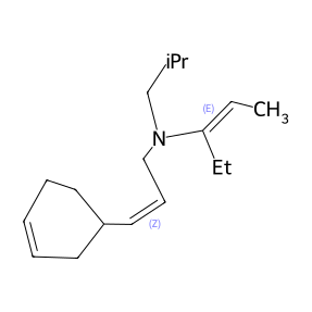 C/C=C(\CC)N(C/C=C\C1CC=CCC1)CC(C)C